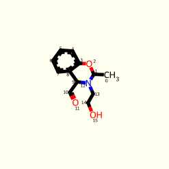 CC1Oc2ccccc2C(C=O)N1CCO